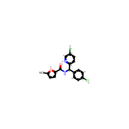 N#Cc1ccc(C(=O)NC(c2ccc(Cl)cc2)c2ccc(Br)cn2)o1